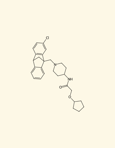 O=C(COC1CCCC1)NC1CCN(CC23CC(c4ccccc42)c2ccc(Cl)cc23)CC1